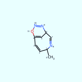 CC1C=CC2=CC(/C=N\1)N=NO2